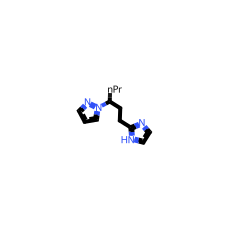 CCCC(CCc1ncc[nH]1)n1cccn1